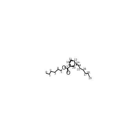 CCCCCCOC(=O)c1ccc[n+](CCCCCC)c1